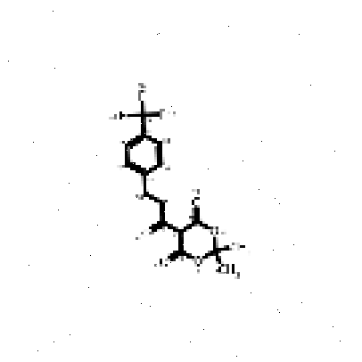 CC1(C)OC(=O)C(C(=O)CCc2ccc(C(F)(F)F)cc2)C(=O)O1